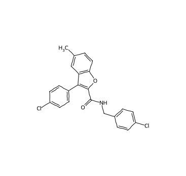 Cc1ccc2oc(C(=O)NCc3ccc(Cl)cc3)c(-c3ccc(Cl)cc3)c2c1